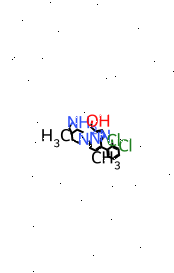 Cc1cc(N2CCC(C)(CN)CC2)n2c(CO)cnc2c1-c1cccc(Cl)c1Cl